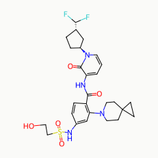 O=C(Nc1cccn([C@H]2CC[C@H](C(F)F)C2)c1=O)c1ccc(NS(=O)(=O)CCO)cc1N1CCC2(CC1)CC2